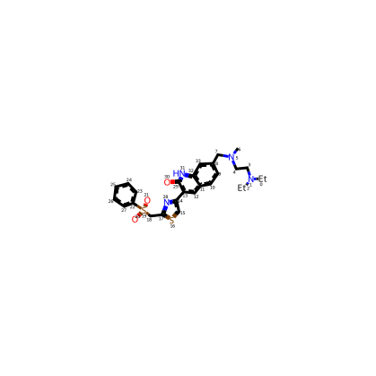 CCN(CC)CCN(C)Cc1ccc2cc(-c3csc(CS(=O)(=O)c4ccccc4)n3)c(=O)[nH]c2c1